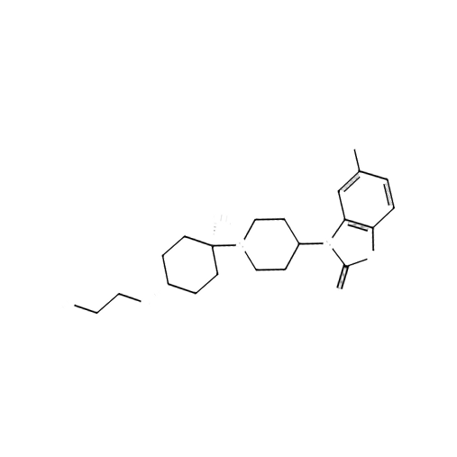 CCCO[C@H]1CC[C@](C)(N2CCC(n3c(=O)oc4ccc(F)cc43)CC2)CC1